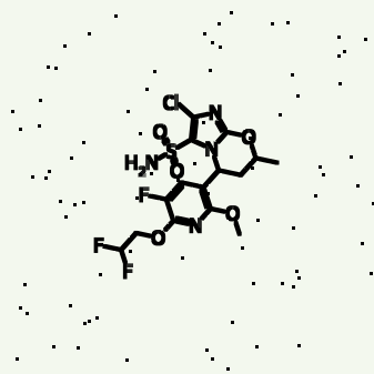 COc1nc(OCC(F)F)c(F)cc1C1CC(C)Oc2nc(Cl)c(S(N)(=O)=O)n21